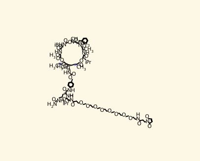 C/C=C(\C)[C@H]1OC(=O)[C@@H](C)NC(=O)[C@H](C(C)CC)NC(=O)CN(C)C(=O)[C@@H](Cc2ccccc2)N(C)C(=O)[C@H](C)NC(=O)[C@@H](CC(C)C)OC(=O)/C(C)=C/C[C@H](OCNC(=O)OCc2ccc(NC(=O)[C@H](CCCNC(N)=O)NC(=O)[C@@H](NC(=O)CCOCCOCCOCCOCCOCCOCCOCCOCCNC(=O)CCN3C(=O)C=CC3=O)C(C)C)cc2)[C@@H]1C